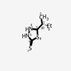 CC[C@@H](C)C1NNC(=S)S1